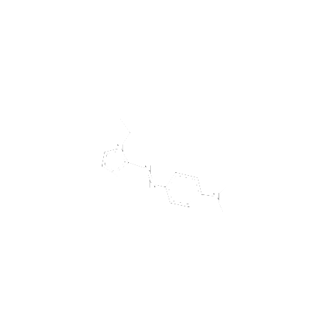 CC[n+]1ccsc1N=Nc1ccc(N(C)C)cc1